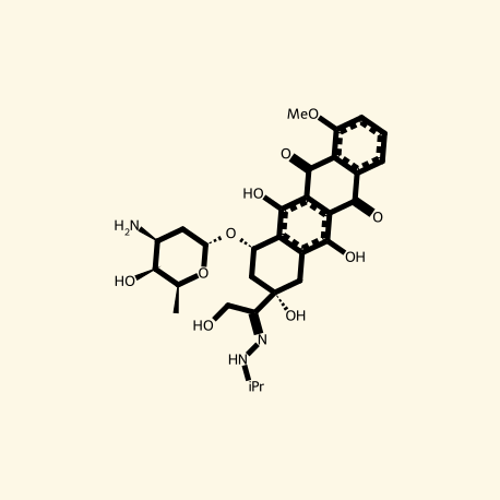 COc1cccc2c1C(=O)c1c(O)c3c(c(O)c1C2=O)C[C@@](O)(/C(CO)=N/NC(C)C)C[C@@H]3O[C@H]1C[C@H](N)[C@H](O)[C@H](C)O1